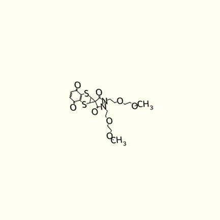 COCCOCCN1C(=O)C2(C(=O)N1CCOCCOC)C1SC3=C(SC12)C(=O)C=CC3=O